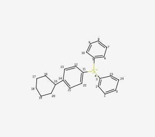 c1ccc([S+](c2ccccc2)c2ccc(C3CCCCC3)cc2)cc1